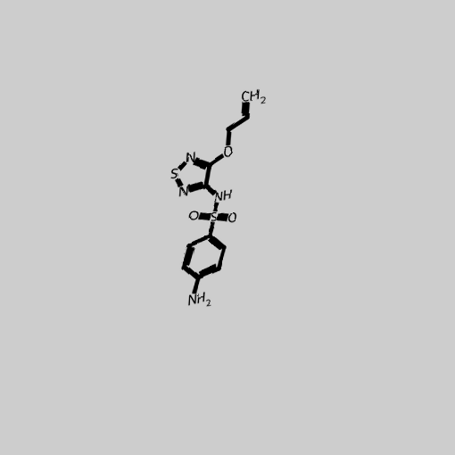 C=CCOc1nsnc1NS(=O)(=O)c1ccc(N)cc1